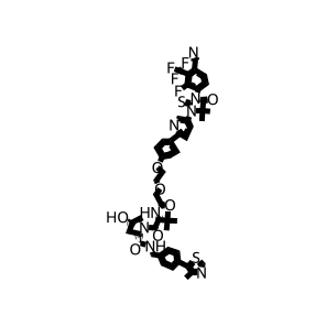 Cc1ncsc1-c1ccc(CNC(=O)[C@@H]2C[C@@H](O)CN2C(=O)[C@@H](NC(=O)COCCOc2ccc(-c3ccc(N4C(=S)N(c5ccc(C#N)c(C(F)(F)F)c5F)C(=O)C4(C)C)cn3)cc2)C(C)(C)C)cc1